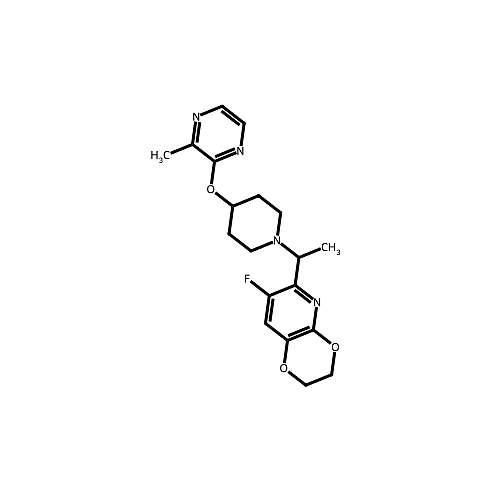 Cc1nccnc1OC1CCN(C(C)c2nc3c(cc2F)OCCO3)CC1